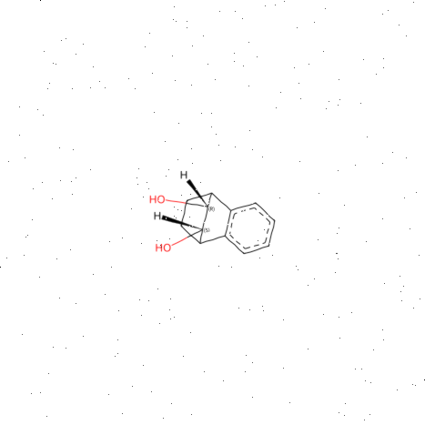 O[C@@H]1C2CCC(c3ccccc32)[C@@H]1O